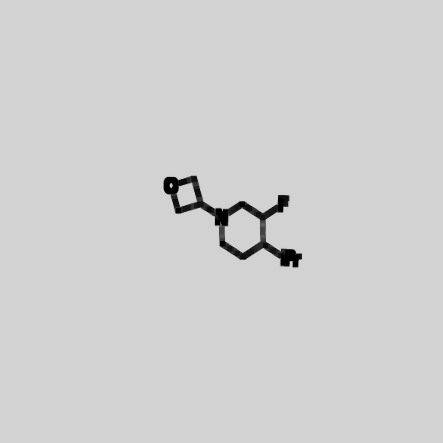 CC(C)C1CCN(C2COC2)CC1F